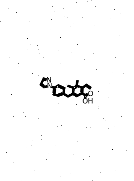 C=Cc1c(C(=O)O)cc(Cc2ccc(-n3cccn3)cc2)c(C)c1C